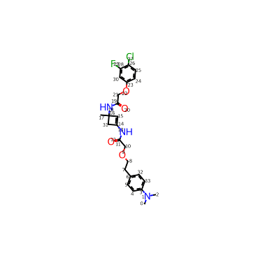 CN(C)c1ccc(CCOCC(=O)NC2=CC(C)(NC(=O)COc3ccc(Cl)c(F)c3)C2)cc1